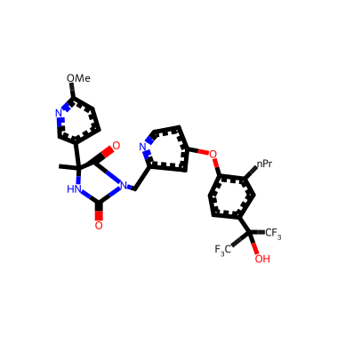 CCCc1cc(C(O)(C(F)(F)F)C(F)(F)F)ccc1Oc1ccnc(CN2C(=O)NC(C)(c3ccc(OC)nc3)C2=O)c1